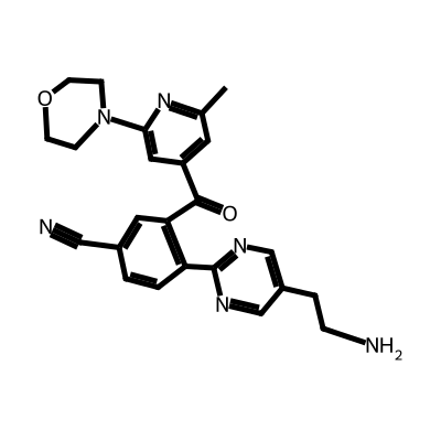 Cc1cc(C(=O)c2cc(C#N)ccc2-c2ncc(CCN)cn2)cc(N2CCOCC2)n1